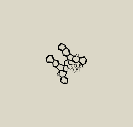 CCOC(=O)CC1(CC2(CC(=O)OCC)c3cc4ccccc4cc3-c3nc4ccccc4cc32)c2cc3ccccc3cc2-c2nc3ccccc3cc21